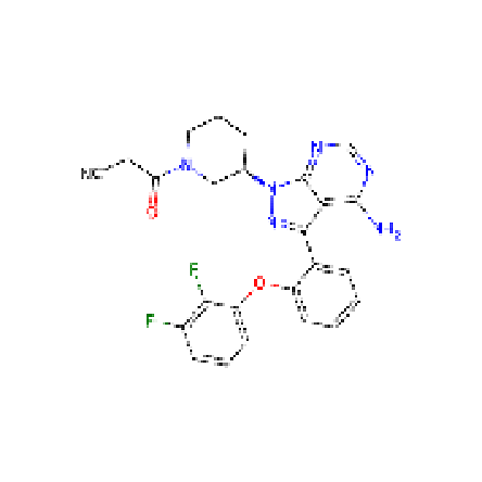 N#CCC(=O)N1CCC[C@@H](n2nc(-c3ccccc3Oc3cccc(F)c3F)c3c(N)ncnc32)C1